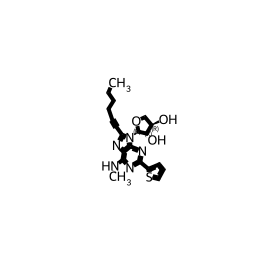 CCCCC#Cc1nc2c(NC)nc(-c3cccs3)nc2n1[C@@H]1OC[C@@H](O)[C@H]1O